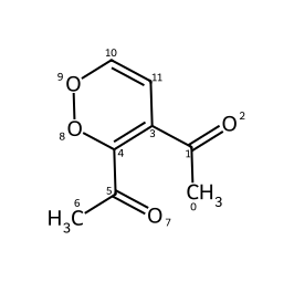 CC(=O)C1=C(C(C)=O)OOC=C1